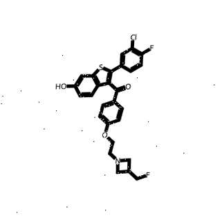 O=C(c1ccc(OCCN2CC(CF)C2)cc1)c1c(-c2ccc(F)c(Cl)c2)sc2cc(O)ccc12